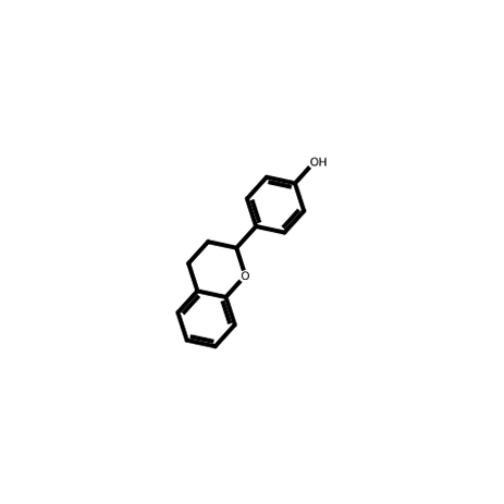 Oc1ccc(C2CCc3ccccc3O2)cc1